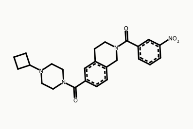 O=C(c1ccc2c(c1)CCN(C(=O)c1cccc([N+](=O)[O-])c1)C2)N1CCN(C2CCC2)CC1